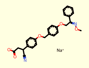 CO/N=C(\COc1ccc(COc2ccc(C(C#N)CC(=O)[O-])cc2)cc1)c1ccccc1.[Na+]